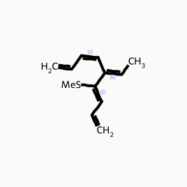 C=C\C=C/C(=C\C)C(=C/C=C)/SC